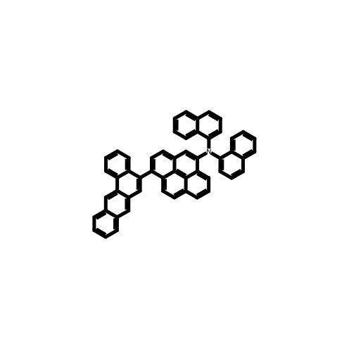 c1ccc2cc3c(cc(-c4ccc5cc(N(c6cccc7ccccc67)c6cccc7ccccc67)c6cccc7ccc4c5c76)c4ccccc43)cc2c1